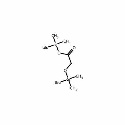 CC(C)(C)[Si](C)(C)OCC(=O)O[Si](C)(C)C(C)(C)C